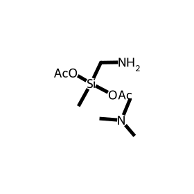 CC(=O)O[Si](C)(CN)OC(C)=O.CN(C)C